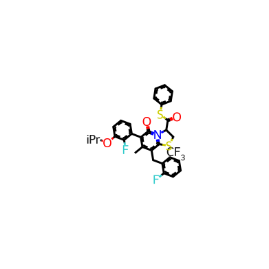 Cc1c(Cc2c(F)cccc2C(F)(F)F)c2n(c(=O)c1-c1cccc(OC(C)C)c1F)C(C(=O)Sc1ccccc1)CS2